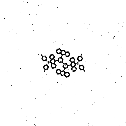 Cc1ccc(N(c2ccc(C)cc2)c2c3ccccc3c(-c3cc(-c4cc(-c5c6ccccc6cc6ccccc56)cc(-c5c6ccccc6c(N(c6ccc(C)cc6)c6ccc(C)cc6)c6ccccc56)c4)cc(-c4c5ccccc5cc5ccccc45)c3)c3ccccc23)cc1